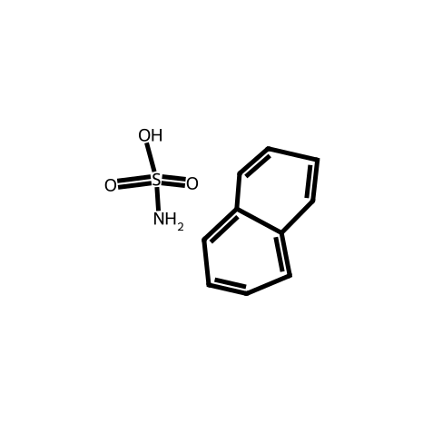 NS(=O)(=O)O.c1ccc2ccccc2c1